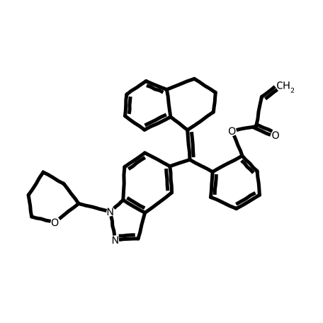 C=CC(=O)Oc1ccccc1/C(=C1\CCCc2ccccc21)c1ccc2c(cnn2C2CCCCO2)c1